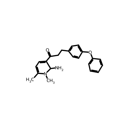 CC1=CC=C(C(=O)CCc2ccc(Oc3ccccc3)cc2)C(N)N1C